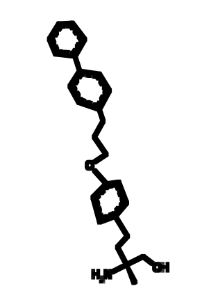 C[C@](N)(CO)CCc1ccc(OCCCc2ccc(-c3ccccc3)cc2)cc1